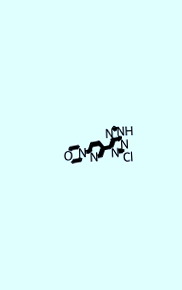 Clc1nc(-c2ccc(N3CCOCC3)nc2)c2nc[nH]c2n1